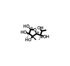 CC(O)[C@@](C)(O)[C@@H]1O[C@H](O)[C@](C)(O)[C@@]1(C)O